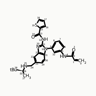 C=CC(=O)Nc1cccc(-n2c(NC(=O)c3cccs3)nc3cc(CN[C@@H](C)C(C)(C)C)ccc32)c1